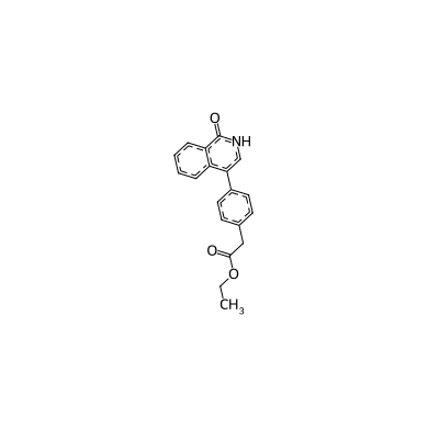 CCOC(=O)Cc1ccc(-c2c[nH]c(=O)c3ccccc23)cc1